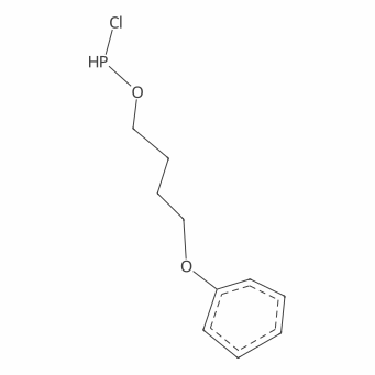 ClPOCCCCOc1ccccc1